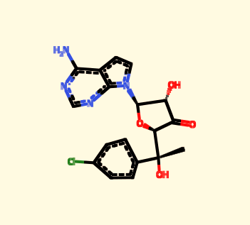 C[C@@](O)(c1ccc(Cl)cc1)[C@H]1O[C@@H](n2ccc3c(N)ncnc32)[C@H](O)C1=O